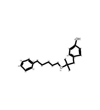 CC(C)(Cc1ccc(O)cc1)OCCCCCc1ccccc1